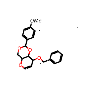 COc1ccc(C2OCC3OC=CC(OCc4ccccc4)C3O2)cc1